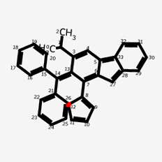 CC(C)c1cc2c(c(C3=CC=CC3)c1=C(c1ccccc1)c1ccccc1)[C]=c1ccccc1=2